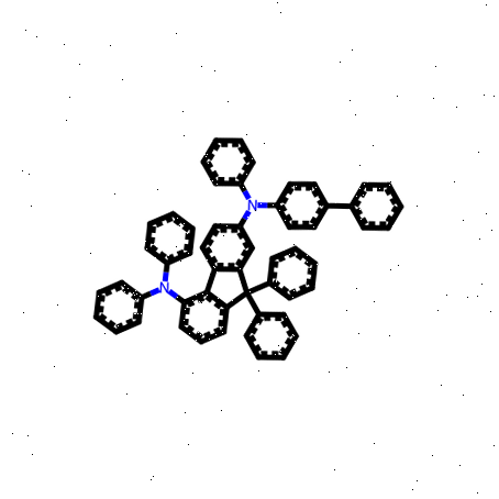 c1ccc(-c2ccc(N(c3ccccc3)c3ccc4c(c3)C(c3ccccc3)(c3ccccc3)c3cccc(N(c5ccccc5)c5ccccc5)c3-4)cc2)cc1